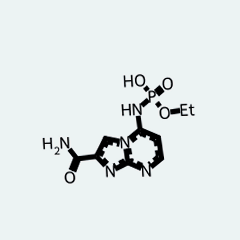 CCOP(=O)(O)Nc1ccnc2nc(C(N)=O)cn12